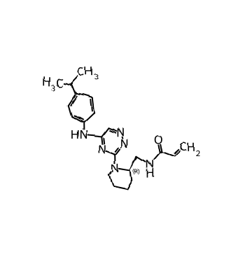 C=CC(=O)NC[C@H]1CCCCN1c1nncc(Nc2ccc(C(C)C)cc2)n1